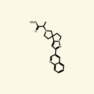 CNC(=O)C(C)N1CCC2(CCn3nc(-c4cnc5ccccc5c4)cc32)C1